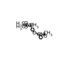 CC(=O)Nc1ccccc1OCCOc1ccc(C(C)CNS(=O)(=O)C(C)C)cc1